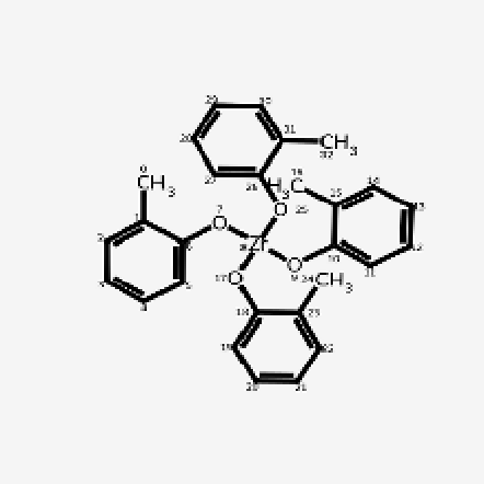 Cc1ccccc1[O][Zr]([O]c1ccccc1C)([O]c1ccccc1C)[O]c1ccccc1C